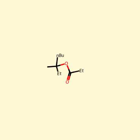 CCCCC(C)(CC)OC(=O)CC